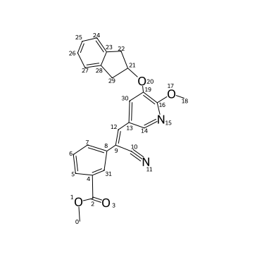 COC(=O)c1cccc(/C(C#N)=C/c2cnc(OC)c(OC3Cc4ccccc4C3)c2)c1